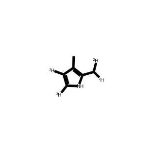 [2H]c1[nH]c(C([2H])[2H])c(C)c1[2H]